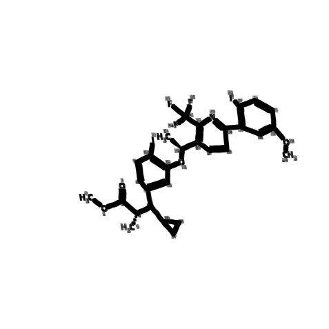 COC(=O)[C@@H](C)C(c1ccc(I)c(O[C@@H](C)c2ccc(-c3cc(OC)ccc3F)nc2C(F)(F)F)c1)C1CC1